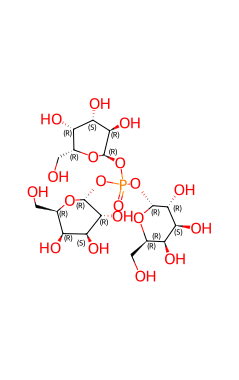 O=P(O[C@H]1O[C@H](CO)[C@H](O)[C@H](O)[C@H]1O)(O[C@H]1O[C@H](CO)[C@H](O)[C@H](O)[C@H]1O)O[C@H]1O[C@H](CO)[C@H](O)[C@H](O)[C@H]1O